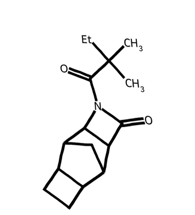 CCC(C)(C)C(=O)N1C(=O)C2C3CC(C4CCC43)C21